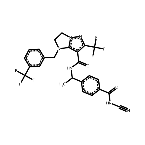 CC(NC(=O)c1c(C(F)(F)F)nn2c1N(Cc1cccc(C(F)(F)F)c1)CC2)c1ccc(C(=O)NC#N)cc1